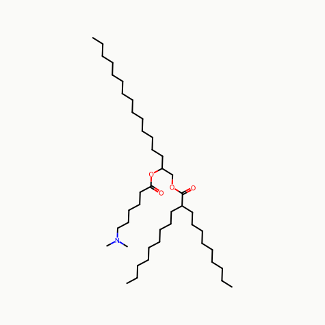 CCCCCCCCCCCCCCC(COC(=O)C(CCCCCCCCC)CCCCCCCCC)OC(=O)CCCCCN(C)C